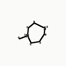 CN1CCCSCC1